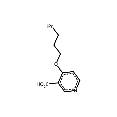 CC(C)CCCOc1ccncc1C(=O)O